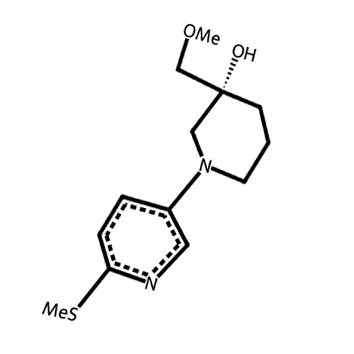 COC[C@@]1(O)CCCN(c2ccc(SC)nc2)C1